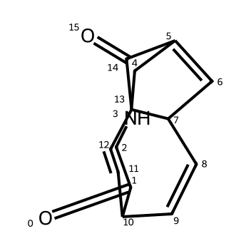 O=C1CNCC2=CC3C=CC1C=CC3C2=O